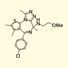 COCCNC1(C)N=C(c2ccc(Cl)cc2)c2c(sc(C)c2C)-n2c(C)nnc21